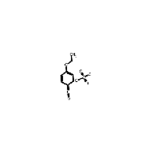 CCOC1=CCC(=C=O)C=C1.O=S(=O)(Cl)Cl